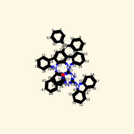 c1ccc(B(c2ccccc2)c2cc3c4ccccc4n(-c4ccccc4)c3c3c2c2ccccc2n3-c2nc(-c3ccccc3)nc(-n3c4ccccc4c4ccccc43)n2)cc1